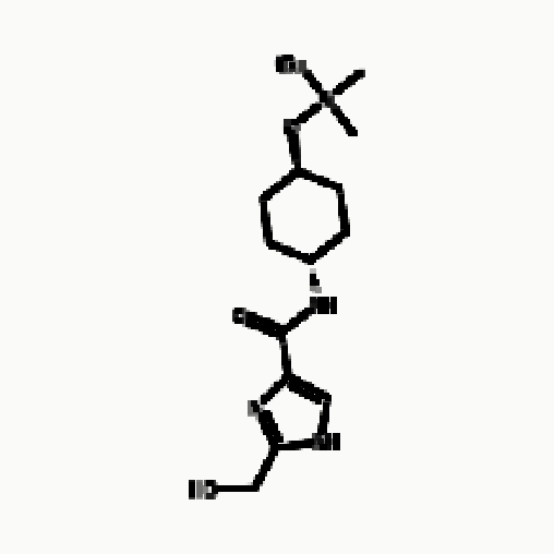 CC(C)(C)[Si](C)(C)O[C@H]1CC[C@H](NC(=O)c2c[nH]c(CO)n2)CC1